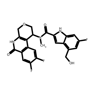 CN(C(=O)c1cc2c(CO)cc(F)cc2[nH]1)C1COCc2[nH]c(=O)c3cc(F)c(F)cc3c21